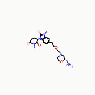 Cn1c(=O)n(C2CCC(=O)NC2=O)c2ccc(CCOCCN3CCO[C@@H](CN)C3)cc21